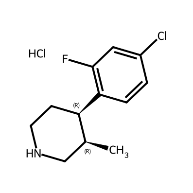 C[C@H]1CNCC[C@H]1c1ccc(Cl)cc1F.Cl